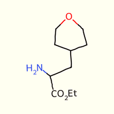 CCOC(=O)C(N)CC1CCOCC1